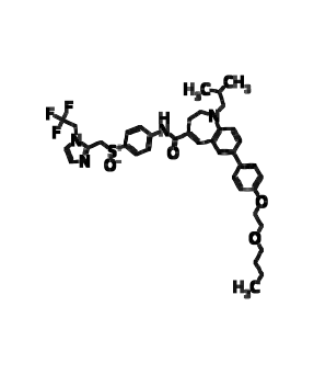 CCCCOCCOc1ccc(-c2ccc3c(c2)C=C(C(=O)Nc2ccc([S+]([O-])Cc4nccn4CC(F)(F)F)cc2)CCN3CC(C)C)cc1